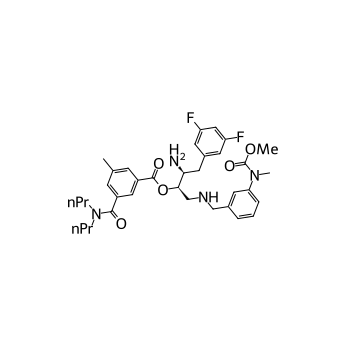 CCCN(CCC)C(=O)c1cc(C)cc(C(=O)O[C@H](CNCc2cccc(N(C)C(=O)OC)c2)[C@@H](N)Cc2cc(F)cc(F)c2)c1